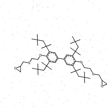 CC(C)(C)CC(C)(C)c1cc(-c2cc(C(C)(C)CC(C)(C)C)c(OCCOCC3CO3)c(C(C)(C)CC(C)(C)C)c2)cc(C(C)(C)CC(C)(C)C)c1OCCOCC1CO1